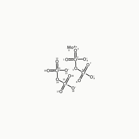 [Mo+4].[O]=[Cr](=[O])([O-])[O][Cr](=[O])(=[O])[O-].[O]=[Cr](=[O])([O-])[O][Cr](=[O])(=[O])[O-]